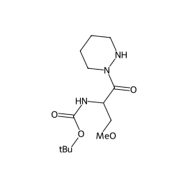 COCC(NC(=O)OC(C)(C)C)C(=O)N1CCCCN1